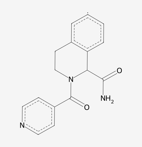 NC(=O)C1c2cc[c]cc2CCN1C(=O)c1ccncc1